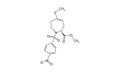 COC(=O)[C@@H]1CC=C(SC)CCN1S(=O)(=O)c1ccc([N+](=O)[O-])cc1